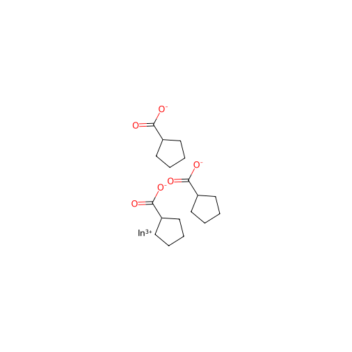 O=C([O-])C1CCCC1.O=C([O-])C1CCCC1.O=C([O-])C1CCCC1.[In+3]